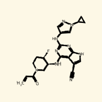 C=CC(=O)N1CC[C@@H](F)[C@@H](Nc2nc(Nc3cnn(C4CC4)c3)nc3[nH]cc(C#N)c23)C1